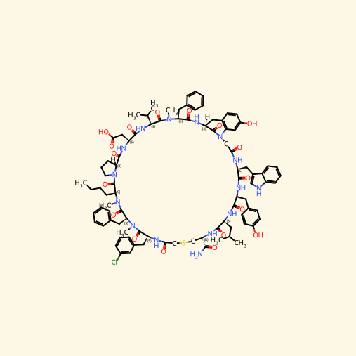 CCCC[C@H]1C(=O)N2CCC[C@@H]2C(=O)N[C@@H](CC(=O)O)C(=O)N[C@@H](C(C)C)C(=O)N(C)[C@@H](Cc2ccccc2)C(=O)N[C@H]2Cc3ccc(O)cc3N(CC(=O)N[C@@H](Cc3c[nH]c4ccccc34)C(=O)NC(Cc3ccc(O)cc3)C(=O)N[C@@H](CC(C)C)C(=O)N[C@H](C(N)=O)CSCC(=O)N[C@@H](Cc3cccc(Cl)c3)C(=O)N(C)[C@@H](Cc3ccccc3)C(=O)N1C)C2=O